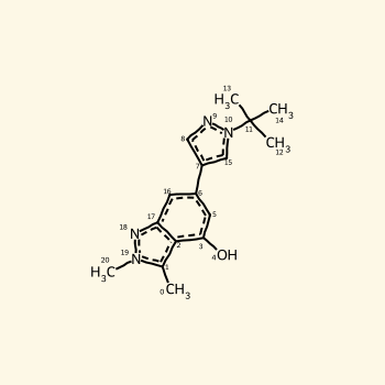 Cc1c2c(O)cc(-c3cnn(C(C)(C)C)c3)cc2nn1C